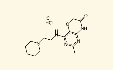 Cc1nc(NCCN2CCCCC2)c2c(n1)NC(=O)CO2.Cl.Cl